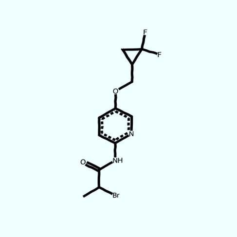 CC(Br)C(=O)Nc1ccc(OCC2CC2(F)F)cn1